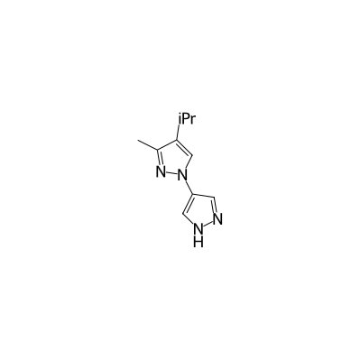 Cc1nn(-c2cn[nH]c2)cc1C(C)C